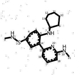 CNSc1ccc(NC2CCCCC2)c(-c2cccc(NC)n2)c1